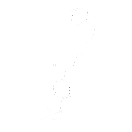 CS(=O)(=O)Nc1ccc([C@H](O)CNC[C@H]2CCc3ccccc3C2)cc1